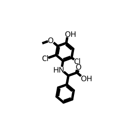 COc1c(O)cc(Cl)c(NC(C(=O)O)c2ccccc2)c1Cl